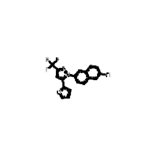 FC(F)(F)c1cc(-c2ccco2)n(-c2ccc3cc(Cl)ccc3c2)n1